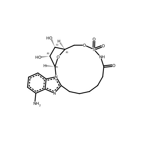 Nc1cccc2c1nc1n2[C@@H]2O[C@H](COS(=O)(=O)NC(=O)CCCCC1)[C@@H](O)[C@H]2O